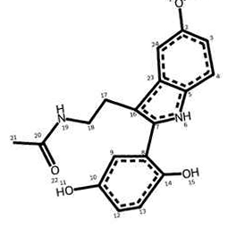 COc1ccc2[nH]c(-c3cc(O)ccc3O)c(CCNC(C)=O)c2c1